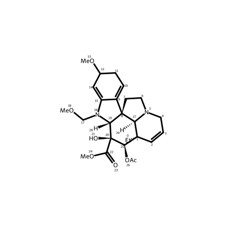 CC[C@]12C=CCN3CC[C@@]4(C5=CCC(OC)C=C5N(COC)[C@H]4[C@@](O)(C(=O)OC)[C@@H]1OC(C)=O)[C@@H]32